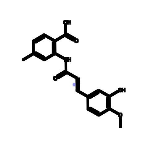 COc1ccc(/C=C/C(=O)Nc2cc(C)ccc2C(=O)O)cc1O